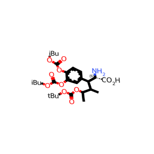 CCC(C)OC(=O)Oc1ccc(C(C(C)C(C)OC(=O)OC(C)(C)C)[C@H](N)C(=O)O)cc1OC(=O)OC(C)CC